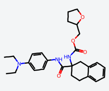 CCN(CC)c1ccc(NC(=O)C2(NC(=O)OCC3CCCO3)CCc3ccccc3C2)cc1